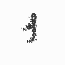 O=C(CN1CCC(C2CCN(C(=O)[C@@H](Cc3cc(Br)c(O)c(Br)c3)OC(=O)N3CCC(N4CCc5ccccc5NC4=O)CC3)CC2)CC1)NO